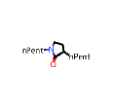 CCCCCC1CCN(CCCCC)C1=O